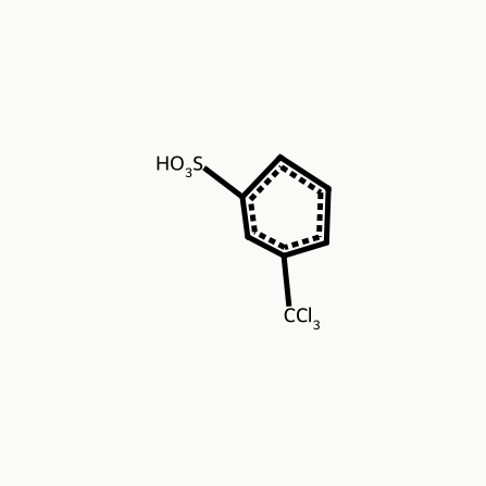 O=S(=O)(O)c1cccc(C(Cl)(Cl)Cl)c1